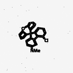 CNc1ccc2c(c1)-c1c(Cl)cccc1C21c2ccccc2Oc2ccccc21